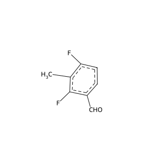 Cc1c(F)ccc(C=O)c1F